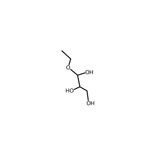 CCOC(O)C(O)CO